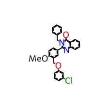 COc1ccc(-c2nc3ccccc3c(=O)n2Cc2ccccc2)cc1COc1cccc(Cl)c1